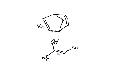 C1=CC2C=CC1C2.CC(=O)/C=C(/C)O.[Rh]